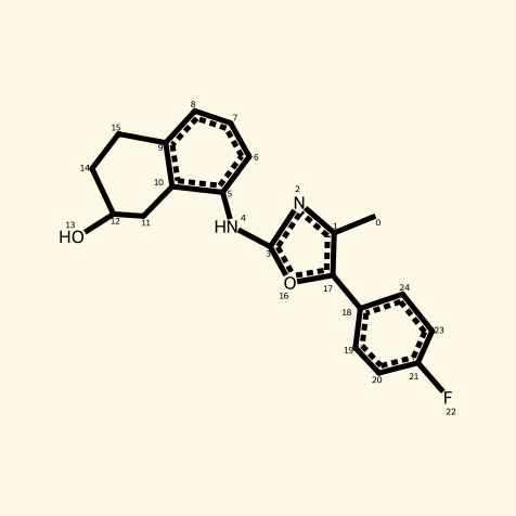 Cc1nc(Nc2cccc3c2CC(O)CC3)oc1-c1ccc(F)cc1